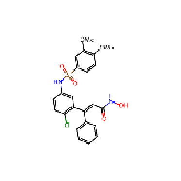 COc1ccc(S(=O)(=O)Nc2ccc(Cl)c(C(=CC(=O)NO)c3ccccc3)c2)cc1OC